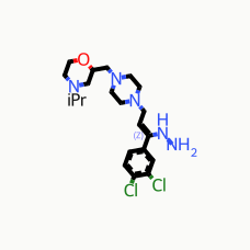 CC(C)N1CCOC(CN2CCN(C/C=C(\NN)c3ccc(Cl)c(Cl)c3)CC2)C1